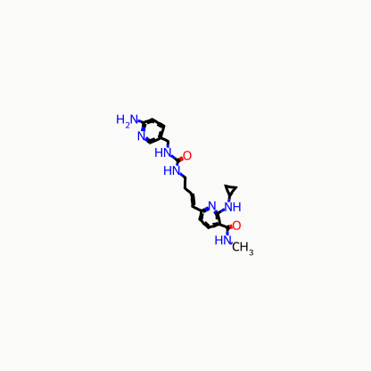 CNC(=O)c1ccc(C=CCCNC(=O)NCc2ccc(N)nc2)nc1NC1CC1